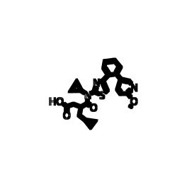 COc1ccc(-c2ccccc2-c2csc(N(C(=O)C(CC(=O)O)CC3CC3)C3CC3)n2)cn1